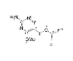 COc1nc(N)ncc1COC(F)F